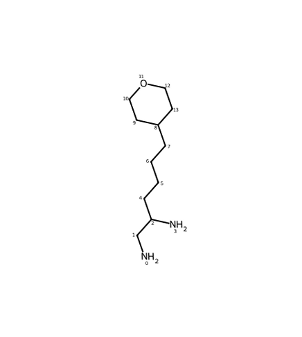 NCC(N)CCCCC1CCOCC1